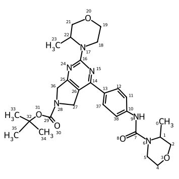 CC1COCCN1C(=O)Nc1ccc(-c2nc(N3CCOCC3C)nc3c2CN(C(=O)OC(C)(C)C)C3)cc1